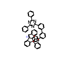 C1=C(\c2ccccc2)c2ccccc2-c2c(n(-c3cccc(-c4cccc(-c5nc(-c6ccccc6)nc(-c6ccccc6)n5)c4)c3)c3ccccc23)-c2ccccc2/1